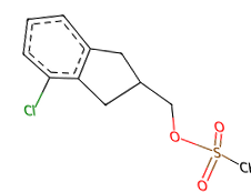 CS(=O)(=O)OCC1Cc2cccc(Cl)c2C1